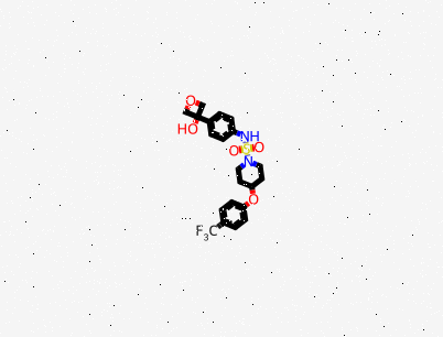 O=S(=O)(Nc1ccc(C2(O)COC2)cc1)N1CCC(Oc2ccc(C(F)(F)F)cc2)CC1